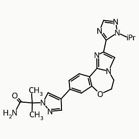 CC(C)n1ncnc1-c1cn2c(n1)-c1ccc(-c3cnn(C(C)(C)C(N)=O)c3)cc1OCC2